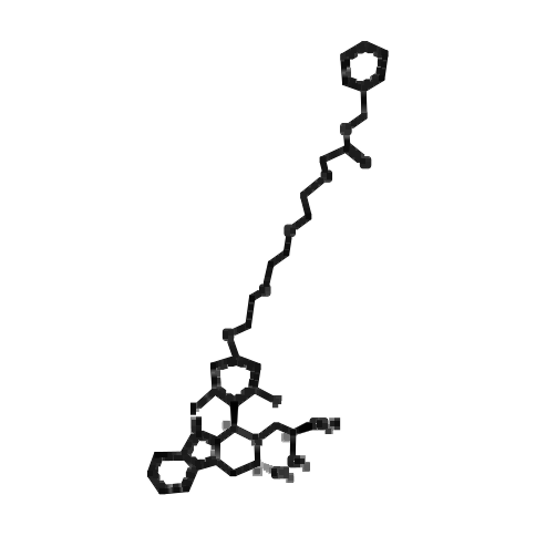 C[C@@H]1Cc2c([nH]c3ccccc23)[C@@H](c2c(F)cc(OCCOCCOCCOCC(=O)OCc3ccccc3)cc2F)N1C[C@H](C)C(=O)O